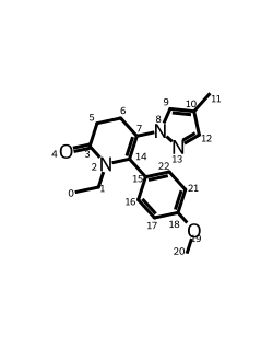 CCN1C(=O)CCC(n2cc(C)cn2)=C1c1ccc(OC)cc1